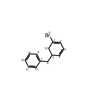 BrC1=CC=CC(Cc2ccccc2)C1